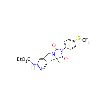 CCOC(=O)Nc1cc(CN2C(=O)N(c3ccc(SC(F)(F)F)cc3)C(=O)C2(C)C)ccn1